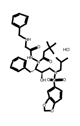 CC(C)CN(C[C@@H](O)[C@H](Cc1ccccc1)N(NC(=O)CNCc1ccccc1)C(=O)CC(C)(C)C)S(=O)(=O)c1ccc2c(c1)OCO2.Cl